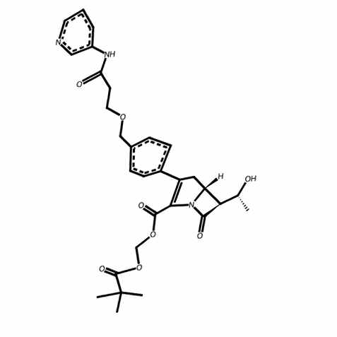 C[C@@H](O)[C@H]1C(=O)N2C(C(=O)OCOC(=O)C(C)(C)C)=C(c3ccc(COCCC(=O)Nc4cccnc4)cc3)C[C@H]12